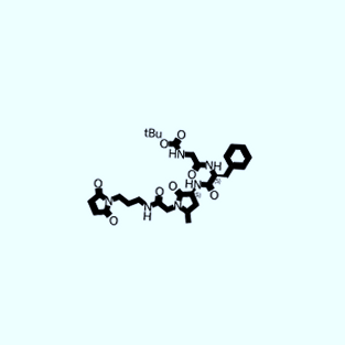 CC1C[C@H](NC(=O)[C@H](Cc2ccccc2)NC(=O)CNC(=O)OC(C)(C)C)C(=O)N1CC(=O)NCCCN1C(=O)C=CC1=O